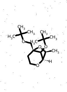 C[C@@H]1O[C@@]2(COC(C)(C)C)CCO[C@H]1C2OC(C)(C)C